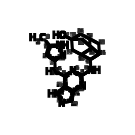 Cc1cc(Nc2nc(NC3C4CC5CC3CC(O)(C5)C4)nc3cn[nH]c23)n[nH]1